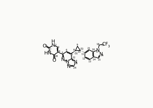 O=c1[nH]cc(-c2cc([C@H]3C[C@@H]3c3ccc4cnn(CC(F)(F)F)c4c3)c3ncnn3n2)c(=O)[nH]1